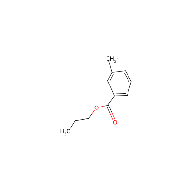 [CH2]c1cccc(C(=O)OCCC)c1